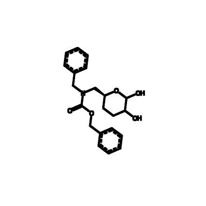 O=C(OCc1ccccc1)N(Cc1ccccc1)C[C@@H]1CCC(O)C(O)O1